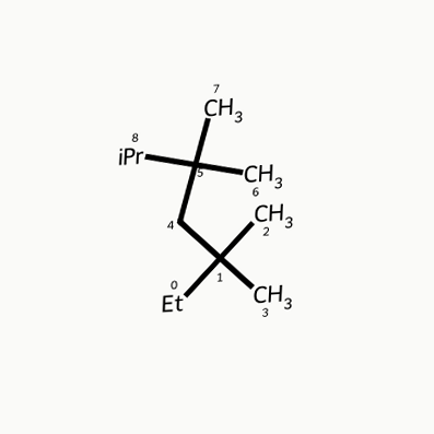 CCC(C)(C)CC(C)(C)C(C)C